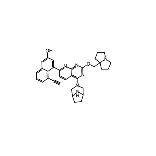 C#Cc1cccc2cc(O)cc(-c3ccc4c(N5CC6CCC(C5)N6)nc(OCC56CCCN5CCC6)nc4n3)c12